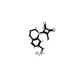 Cc1c(N2CCCc3ccc(CN)cc32)c(=O)c1=O